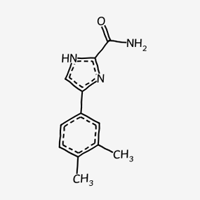 Cc1ccc(-c2c[nH]c(C(N)=O)n2)cc1C